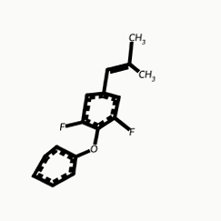 CC(C)=Cc1cc(F)c(Oc2ccccc2)c(F)c1